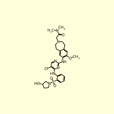 COc1cc2c(cc1Nc1ncc(Cl)c(Nc3ccccc3S(=O)(=O)N3CC[C@@H](O)C3)n1)CCN(CC(=O)N(C)C)CC2